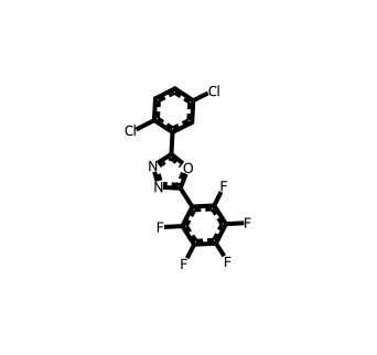 Fc1c(F)c(F)c(-c2nnc(-c3cc(Cl)ccc3Cl)o2)c(F)c1F